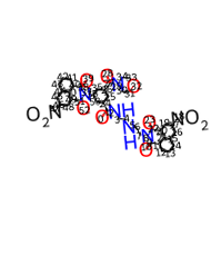 O=C(NCCNCCN1C(=O)c2cccc3cc([N+](=O)[O-])cc(c23)C1=O)c1cc(C(=O)N2CCOCC2)cc(N2C(=O)c3cccc4cc([N+](=O)[O-])cc(c34)C2=O)c1